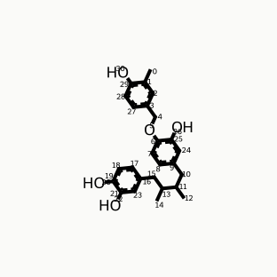 Cc1cc(COc2ccc(CC(C)C(C)Cc3ccc(O)c(O)c3)cc2O)ccc1O